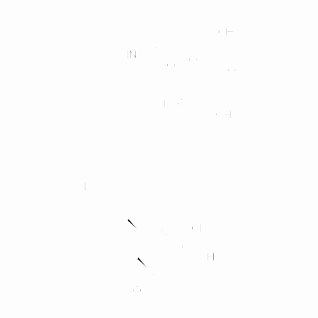 CC(/C=C/[C@@H]1C[C@]2(CO2)CC(C)(C)O1)=C\CC1CCC(NC(=O)/C=C\[C@H](C)OC(=O)C(C)C)CC1